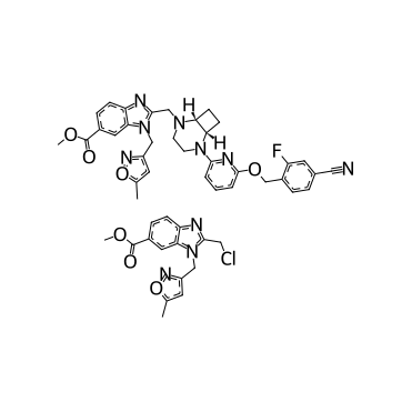 COC(=O)c1ccc2nc(CCl)n(Cc3cc(C)on3)c2c1.COC(=O)c1ccc2nc(CN3CCN(c4cccc(OCc5ccc(C#N)cc5F)n4)[C@H]4CC[C@H]43)n(Cc3cc(C)on3)c2c1